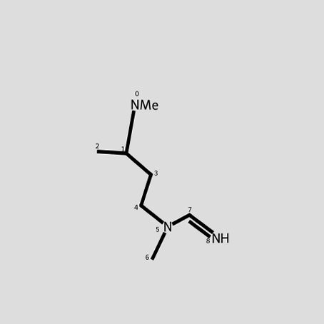 CNC(C)CCN(C)C=N